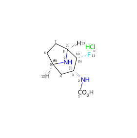 Cl.O=C(O)N[C@@H]1C[C@H]2CC[C@H](N2)[C@@H]1F